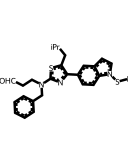 CC(C)Cc1sc(N(CCC=O)Cc2ccccc2)nc1-c1ccc2c(ccn2SI)c1